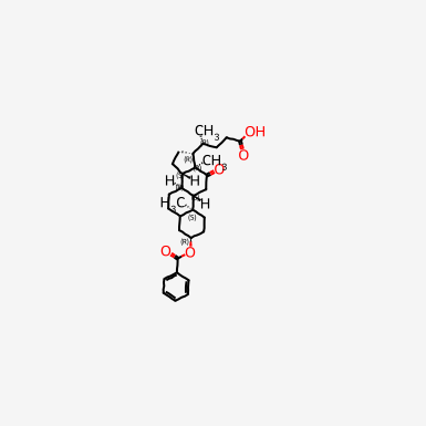 C[C@H](CCC(=O)O)[C@H]1CC[C@H]2[C@@H]3CCC4C[C@H](OC(=O)c5ccccc5)CC[C@]4(C)[C@H]3CC(=O)[C@]12C